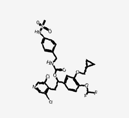 CS(=O)(=O)Nc1ccc(CNC(=O)OC(Cc2c(Cl)cncc2Cl)c2ccc(OC(F)F)c(OCC3CC3)c2)cc1